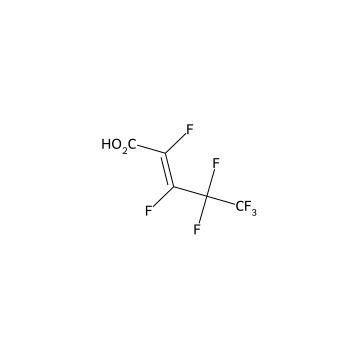 O=C(O)C(F)=C(F)C(F)(F)C(F)(F)F